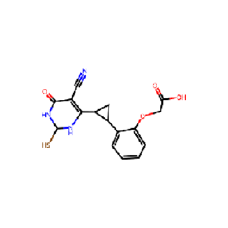 N#CC1=C(C2CC2c2ccccc2OCC(=O)O)NC(S)NC1=O